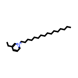 CCCCCCCCCCCCCCCC[n+]1cccc(CC)c1